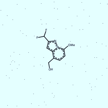 COc1ccc(CO)c2cc(C(F)F)nn12